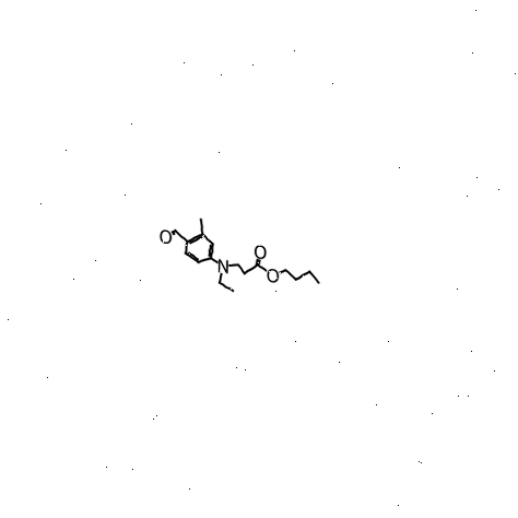 CCCCOC(=O)CCN(CC)c1ccc(C=O)c(C)c1